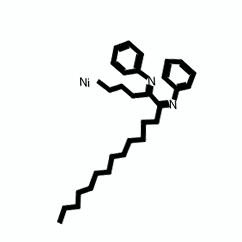 CCCCCCCCCCCCCC(=Nc1ccccc1)C(CCCC)=Nc1ccccc1.[Ni]